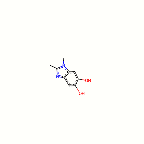 Cc1nc2cc(O)c(O)cc2n1C